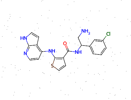 NCC(NC(=O)c1ccsc1Nc1ccnc2[nH]ccc12)c1cccc(Cl)c1